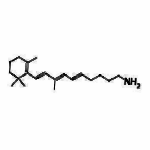 CC1=C(/C=C/C(C)=C/C=C/CCCCN)C(C)(C)CCC1